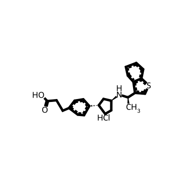 C[C@@H](N[C@H]1CC[C@H](c2ccc(CCC(=O)O)cc2)C1)c1csc2ccccc12.Cl